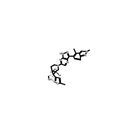 Cc1cc([C@@]2(CN)[C@@H]3CCN(c4cnc5c(-c6ccc7nn(C)cc7c6C)n[nH]c5n4)C[C@@H]32)no1